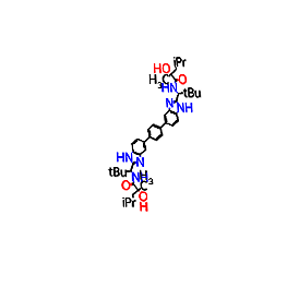 CC(C)CC(C)(O)C(=O)N[C@H](c1nc2cc(-c3ccc(-c4ccc5[nH]c([C@@H](NC(=O)C(C)(O)CC(C)C)C(C)(C)C)nc5c4)cc3)ccc2[nH]1)C(C)(C)C